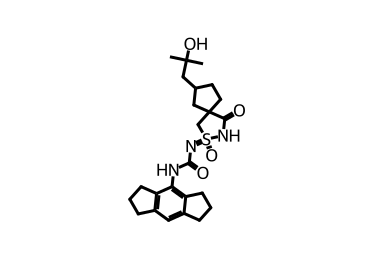 CC(C)(O)CC1CCC2(C1)CS(=O)(=NC(=O)Nc1c3c(cc4c1CCC4)CCC3)NC2=O